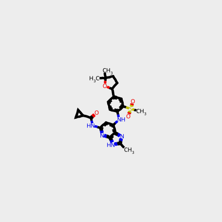 Cc1nc2c(Nc3ccc(C4CCC(C)(C)O4)cc3S(C)(=O)=O)cc(NC(=O)C3CC3)nc2[nH]1